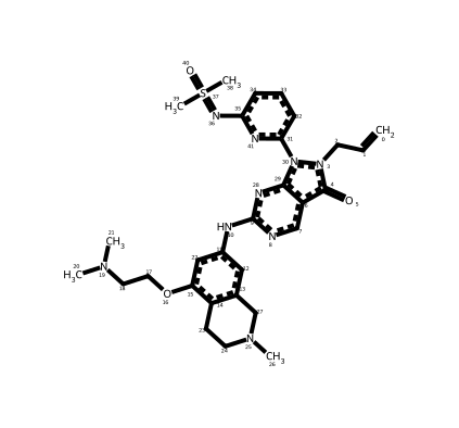 C=CCn1c(=O)c2cnc(Nc3cc4c(c(OCCN(C)C)c3)CCN(C)C4)nc2n1-c1cccc(N=S(C)(C)=O)n1